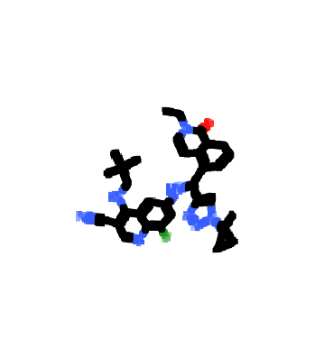 CCn1ccc2c(C(Nc3cc(Cl)c4ncc(C#N)c(NCC(C)(C)C)c4c3)c3cn(C4(C)CC4)nn3)cccc2c1=O